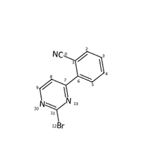 N#Cc1ccccc1-c1ccnc(Br)n1